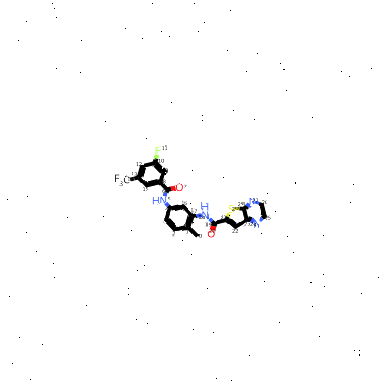 Cc1ccc(NC(=O)c2cc(F)cc(C(F)(F)F)c2)cc1NC(=O)c1cc2nccnc2s1